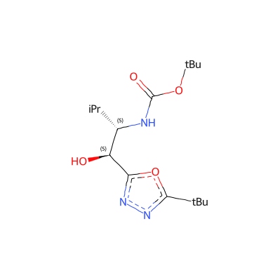 CC(C)[C@H](NC(=O)OC(C)(C)C)[C@H](O)c1nnc(C(C)(C)C)o1